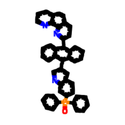 O=P(c1ccccc1)(c1ccccc1)c1ccc2cc(-c3c4ccccc4c(-c4ccc5ccc6cccnc6c5n4)c4ccccc34)cnc2c1